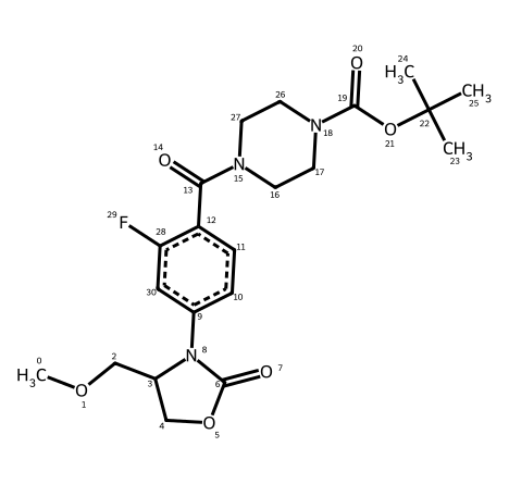 COCC1COC(=O)N1c1ccc(C(=O)N2CCN(C(=O)OC(C)(C)C)CC2)c(F)c1